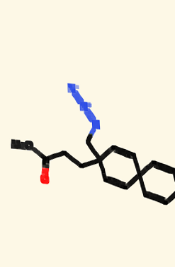 COC(=O)CCC1(CN=[N+]=[N-])C=CC2(C=CCC=C2)C=C1